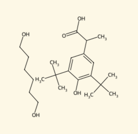 CC(C(=O)O)c1cc(C(C)(C)C)c(O)c(C(C)(C)C)c1.OCCCCCCO